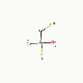 FCC(F)(Cl)Br